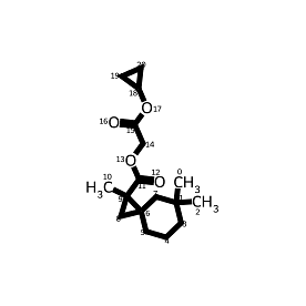 CC1(C)CCCC2(C1)CC2(C)C(=O)OCC(=O)OC1CC1